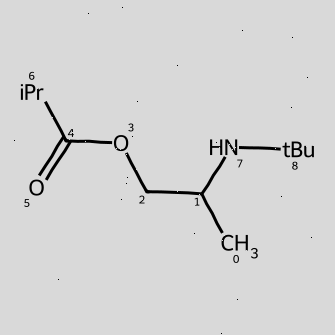 CC(COC(=O)C(C)C)NC(C)(C)C